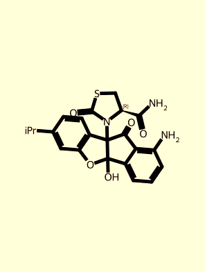 CC(C)c1ccc2c(c1)OC1(O)c3cccc(N)c3C(=O)C21N1C(=O)SC[C@H]1C(N)=O